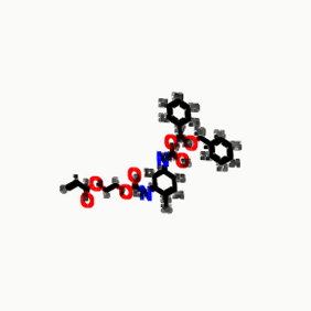 C=CC(=O)OCCOC(=O)N=C1CC(=NC(=O)OC(OCc2ccccc2)c2ccccc2)CC=C1C